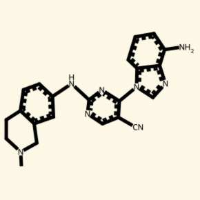 CN1CCc2ccc(Nc3ncc(C#N)c(-n4cnc5c(N)cccc54)n3)cc2C1